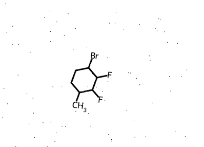 CC1CCC(Br)C(F)C1F